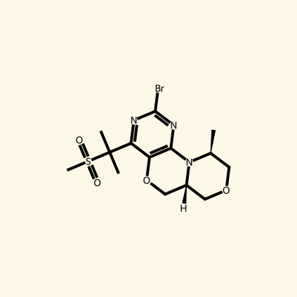 C[C@H]1COC[C@@H]2COc3c(nc(Br)nc3C(C)(C)S(C)(=O)=O)N21